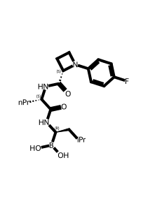 CCC[C@H](NC(=O)[C@@H]1CCN1c1ccc(F)cc1)C(=O)N[C@@H](CC(C)C)B(O)O